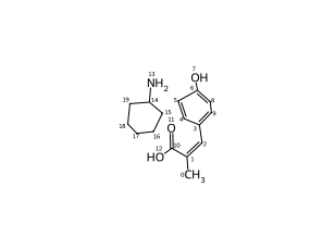 CC(=Cc1ccc(O)cc1)C(=O)O.NC1CCCCC1